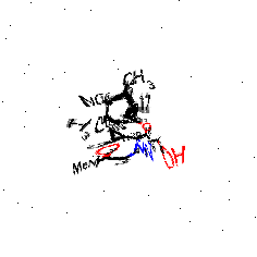 CNC(=O)Cn1nc(CO)c(Oc2cc(C)c(C#N)c(C)c2)c1C1CC1